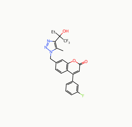 CCC(O)(c1nnn(Cc2ccc3c(-c4cccc(F)c4)cc(=O)oc3c2)c1C)C(F)(F)F